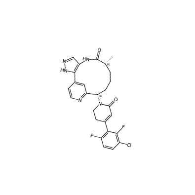 C[C@@H]1CCC[C@H](N2CCC(c3c(F)ccc(Cl)c3F)=CC2=O)c2cc(ccn2)-c2[nH]ncc2NC1=O